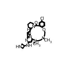 CN1CCOc2ccc(Cl)cc2C(=O)N2CCCC[C@H]2c2cc3nc(NC4CNC4)cc(n3n2)N(C)CC1